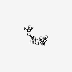 COc1ccc2ncc(Cl)c([C@H](O)CCC3(CO)CCN(CCOc4cc(F)c(F)c(F)c4)CC3)c2c1